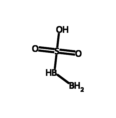 BBS(=O)(=O)O